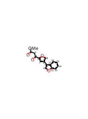 COC(=O)CC(=O)c1cc(-c2coc3ccccc23)co1